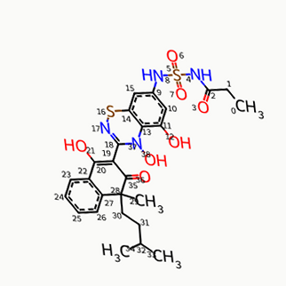 CCC(=O)NS(=O)(=O)Nc1cc(O)c2c(c1)SN=C(C1=C(O)c3ccccc3C(C)(CCC(C)C)C1=O)N2O